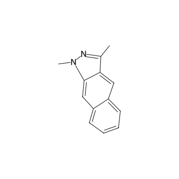 Cc1nn(C)c2cc3ccccc3cc12